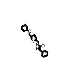 O=C(Cc1ccccc1)NCc1ccc(COc2ccccc2)cn1